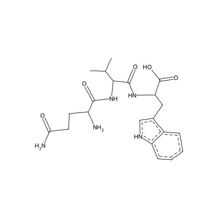 CC(C)C(NC(=O)C(N)CCC(N)=O)C(=O)NC(Cc1c[nH]c2ccccc12)C(=O)O